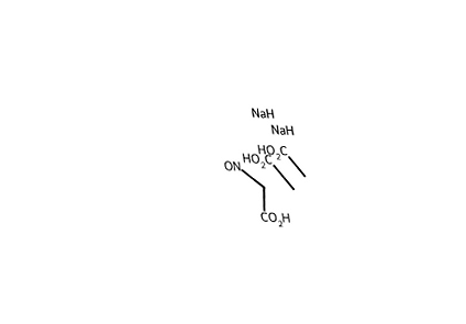 CC(=O)O.CC(=O)O.O=NCC(=O)O.[NaH].[NaH]